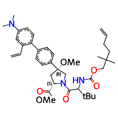 C=CCCC(C)(C)COC(=O)NC(C(=O)N1C[C@](OC)(c2ccc(-c3ccc(N(C)C)cc3C=C)cc2)C[C@H]1C(=O)OC)C(C)(C)C